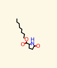 CCCCCCCCOC(=O)C1CCC(=O)N1